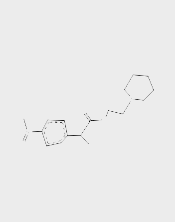 O=C(OCCN1CCCCC1)C(I)c1ccc([N+](=O)[O-])cc1